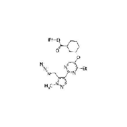 CCc1nc(-c2cnn(C)c2CN=[N+]=[N-])ncc1O[C@H]1CCC[C@H](C(=O)OC(C)C)C1